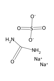 NC(N)=O.O=S(=O)([O-])[O-].[Na+].[Na+]